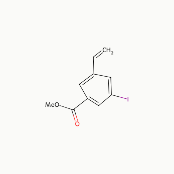 C=Cc1cc(I)cc(C(=O)OC)c1